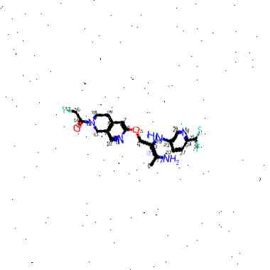 C/C(N)=C(\COc1cc2c(cn1)CN(C(=O)CF)CC2)Nc1ccc(C(F)F)nc1